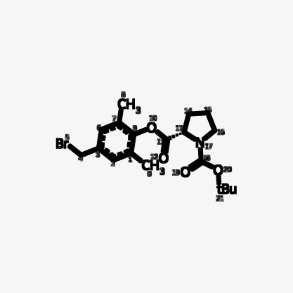 Cc1cc(CBr)cc(C)c1OC(=O)[C@@H]1CCCN1C(=O)OC(C)(C)C